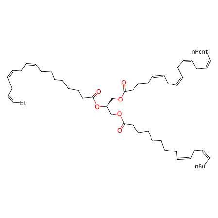 CC/C=C\C/C=C\C/C=C\CCCCCCCC(=O)O[C@@H](COC(=O)CCC/C=C\C/C=C\C/C=C\C/C=C\CCCCC)COC(=O)CCCCCCC/C=C\C/C=C\CCCC